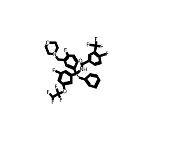 O=C(N[C@@](Cc1ccccc1)(c1cc(F)cc(OC(F)(F)C(F)F)c1)c1ccc(F)c(CN2CCOCC2)c1)c1ccc(F)c(C(F)(F)F)c1